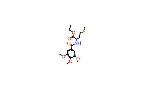 CCOC(=O)[C@@H](CCSC)NC(=O)c1cc(OC)c(OC)c(OC)c1